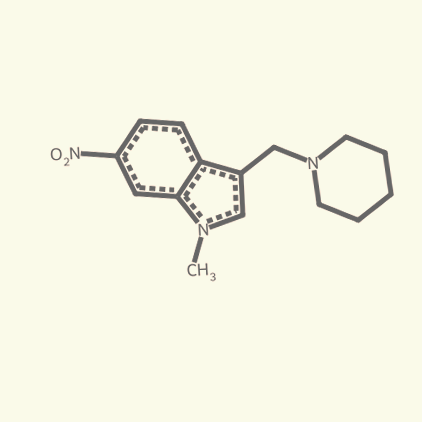 Cn1cc(CN2CCCCC2)c2ccc([N+](=O)[O-])cc21